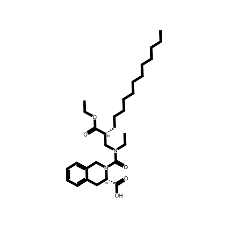 CCCCCCCCCCCC[C@H](CN(CC)C(=O)N1Cc2ccccc2C[C@H]1C(=O)O)C(=O)OCC